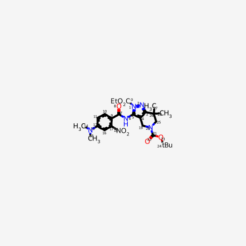 CCOC(=O)n1nc2c(c1NC(=O)c1ccc(N(C)C)cc1[N+](=O)[O-])CN(C(=O)OC(C)(C)C)CC2(C)C